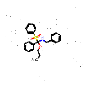 COCCOC(NCc1ccccc1)(c1ccccc1)S(=O)(=O)c1ccccc1